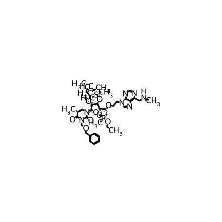 CCOP(C)(=O)C[C@@H](OCCn1cnc2c(CNC)ncnc21)[C@H]1O[C@@H](n2cc(C)c(=O)n(COCc3ccccc3)c2=O)[C@H](OCCOC)[C@@H]1O[Si](C)(C)C(C)(C)C